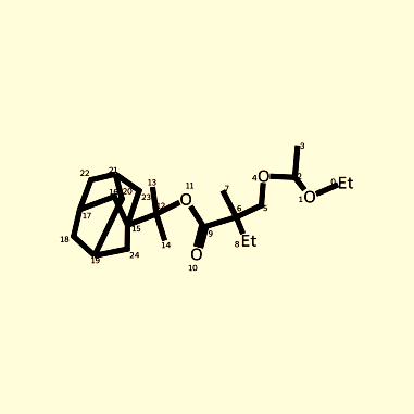 CCOC(C)OCC(C)(CC)C(=O)OC(C)(C)C12CC3CC(CC(C3)C1)C2